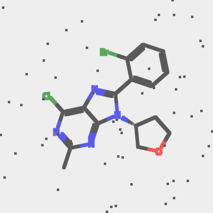 Cc1nc(Cl)c2nc(-c3ccccc3Br)n([C@@H]3CCOC3)c2n1